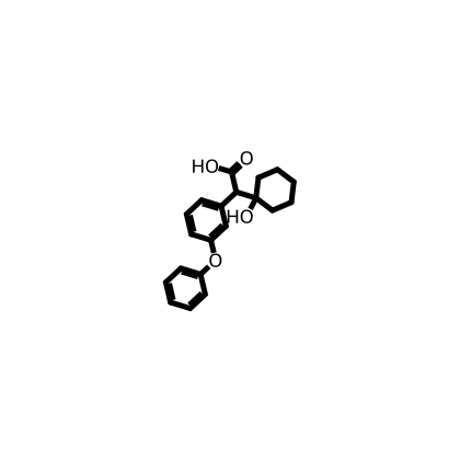 O=C(O)C(c1cccc(Oc2ccccc2)c1)C1(O)CCCCC1